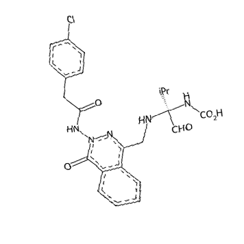 CC(C)[C@](C=O)(NCc1nn(NC(=O)Cc2ccc(Cl)cc2)c(=O)c2ccccc12)NC(=O)O